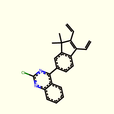 C=CC1=C(C=C)C(C)(C)c2cc(-c3nc(Cl)nc4ccccc34)ccc21